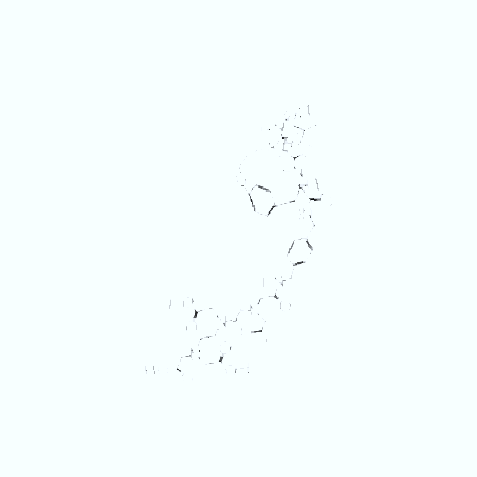 CC(C)C[C@H]1C(=O)N[C@H](C(=O)NCc2ccc(CNC(=O)CN(CCN(CCN(CC(=O)O)CC(=O)O)CC(=O)O)CC(=O)O)cc2)Cc2ccc(cc2)OCCC[C@@H]1C(=O)NO